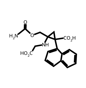 NC(=O)OCC1(NCC(=O)O)CC1(C(=O)O)c1cccc2ccccc12